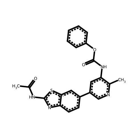 CC(=O)Nc1nc2ccc(-c3cnc(C)c(NC(=O)Oc4ccccc4)c3)cc2s1